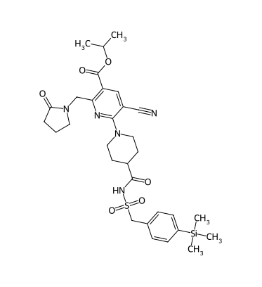 CC(C)OC(=O)c1cc(C#N)c(N2CCC(C(=O)NS(=O)(=O)Cc3ccc([Si](C)(C)C)cc3)CC2)nc1CN1CCCC1=O